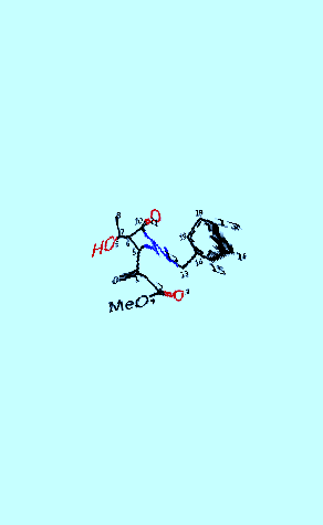 C=C(C(=O)OC)C1C(C(C)O)C(=O)N1Cc1ccccc1